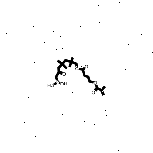 C=C(C)C(=O)OCCCC(=O)OCC(C)(C)CC(C)(C)CC(=O)CP(O)O